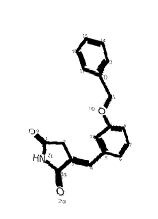 O=C1C/C(=C\c2cccc(OCc3ccccc3)c2)C(=O)N1